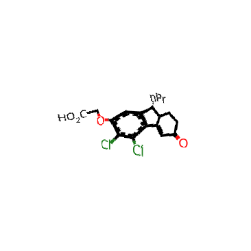 CCC[C@H]1c2cc(OCC(=O)O)c(Cl)c(Cl)c2C2=CC(=O)CCC21